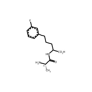 C[C@H](N)C(=O)NC(CCCc1cccc(F)c1)C(=O)O